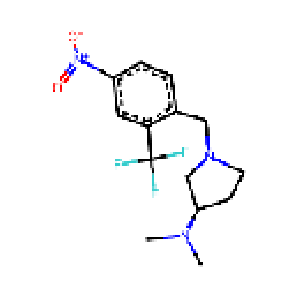 CN(C)[C@@H]1CCN(Cc2ccc([N+](=O)[O-])cc2C(F)(F)F)C1